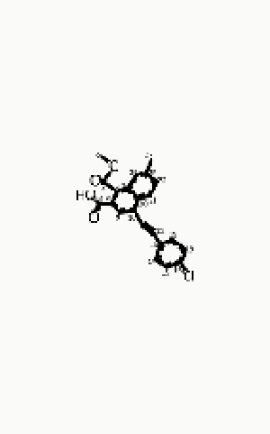 COC(=O)c1c(C(=O)O)cc(C#Cc2ccc(Cl)cc2)c2ccc(C)cc12